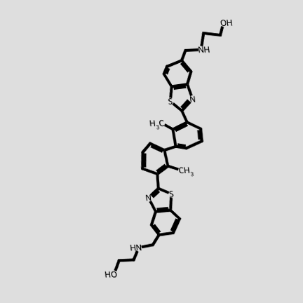 Cc1c(-c2nc3cc(CNCCO)ccc3s2)cccc1-c1cccc(-c2nc3cc(CNCCO)ccc3s2)c1C